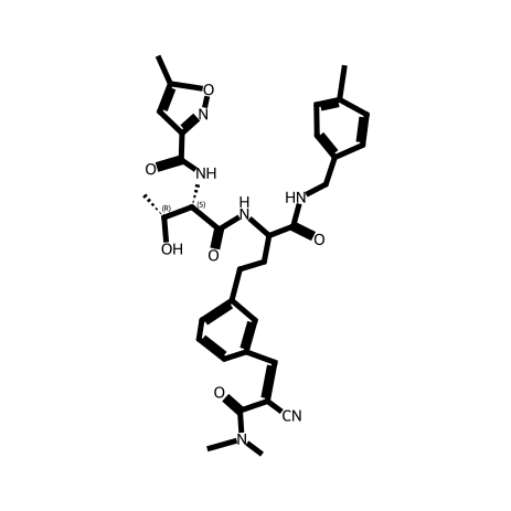 Cc1ccc(CNC(=O)C(CCc2cccc(C=C(C#N)C(=O)N(C)C)c2)NC(=O)[C@@H](NC(=O)c2cc(C)on2)[C@@H](C)O)cc1